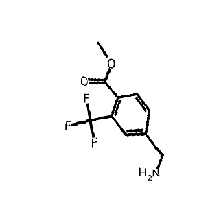 COC(=O)c1ccc(CN)cc1C(F)(F)F